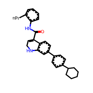 CCCc1ccccc1NC(=O)C1=CCNc2cc(-c3ccc(C4CCCCC4)cc3)ccc21